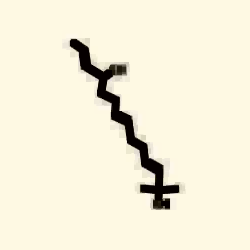 C/C=C/C(O)CC/C=C/CC/C=C/C(C)(C)O